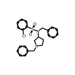 O=S(=O)(c1ccccc1Cl)N(Cc1ccccc1)C1CCN(Cc2ccccc2)C1